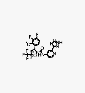 COc1c([C@@H]2[C@@H](C(=O)Nc3ccnc(-c4nn[nH]n4)c3)O[C@](C)(C(F)(F)F)[C@@H]2C)ccc(F)c1F